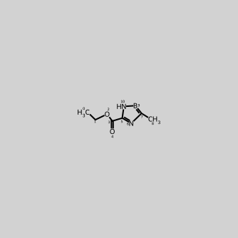 CCOC(=O)c1nc(C)b[nH]1